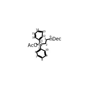 CCCCCCCCCCCC[Si](OC(C)=O)(c1ccccc1)c1ccccc1